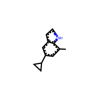 Cc1cc(C2CC2)cc2cc[nH]c12